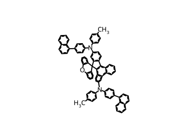 Cc1ccc(N(c2ccc(-c3cccc4ccccc34)cc2)c2ccc3c(c2)C2(c4ccccc4Oc4ccccc42)c2c-3c3ccccc3c3cc(N(c4ccc(C)cc4)c4ccc(-c5cccc6ccccc56)cc4)ccc23)cc1